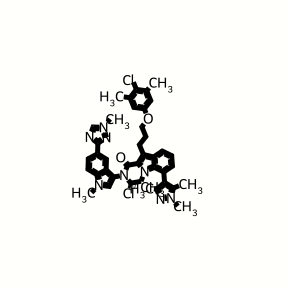 Cc1cc(OCCCc2c3n(c4c(-c5c(C)nn(C)c5C)cccc24)C(C)[C@@H](Cl)N(c2cn(C)c4ccc(-c5ncn(C)n5)cc24)C3=O)cc(C)c1Cl